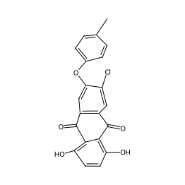 Cc1ccc(Oc2cc3c(cc2Cl)C(=O)c2c(O)ccc(O)c2C3=O)cc1